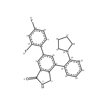 O=C1NCc2c1cc(-c1ccc(F)cc1F)cc2-c1cccnc1N1CCCC1